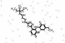 CCc1ccc(Nc2c(-c3nnc(NCCNCC(N)(CC)CC)o3)ccc(F)c2F)c(F)c1